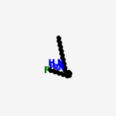 CCCCCCCCCCCCC(N)CC(N)CCc1ccccc1CCCCCCCCF